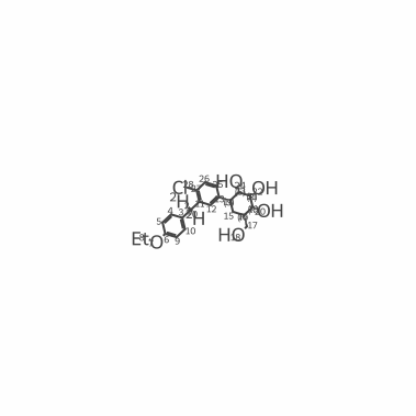 [2H]C([2H])(c1ccc(OCC)cc1)c1cc([C@@H]2C[C@H](CO)[C@@H](O)[C@H](O)[C@H]2O)ccc1Cl